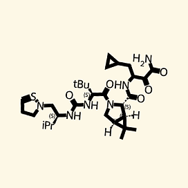 CC(C)[C@@H](CN1CCC#S1)NC(=O)N[C@H](C(=O)N1C[C@H]2[C@@H]([C@H]1C(=O)NC(CC1CC1)C(=O)C(N)=O)C2(C)C)C(C)(C)C